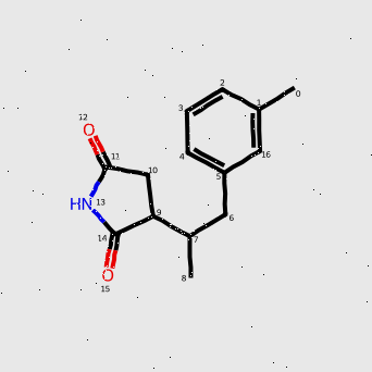 Cc1cccc(CC(C)C2CC(=O)NC2=O)c1